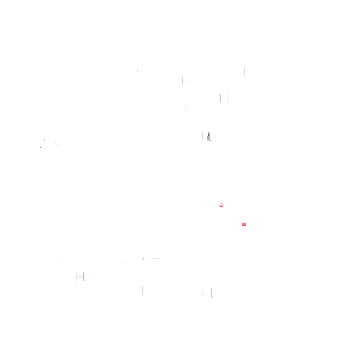 Cc1cc2c(cc1C(C)(C)C)=c1c(c(C3=CC=CC3)c(C)c(C(C)(C)C)c1=C(c1cccc3c(Cl)cccc13)c1cccc3c(Cl)cccc13)[C]=2[Zr+2].[Cl-].[Cl-]